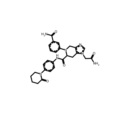 NC(=O)Cn1cnc2c1CC(C(=O)Nc1ccc(N3CCCCC3=O)cc1)N(c1cccc(C(N)=O)c1)C2